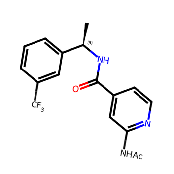 CC(=O)Nc1cc(C(=O)N[C@H](C)c2cccc(C(F)(F)F)c2)ccn1